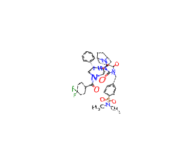 CN(C)S(=O)(=O)c1ccc(CN2C(=O)NC3(CC4CCC(C3)N4C[C@H]3CN(C(=O)C4CCC(F)(F)CC4)C[C@@H]3c3ccccc3)C2=O)cc1